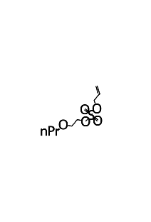 C=CCOS(=O)(=O)OCCOCCC